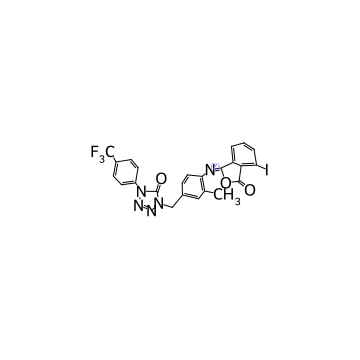 Cc1cc(Cn2nnn(-c3ccc(C(F)(F)F)cc3)c2=O)ccc1/N=C1\OC(=O)c2c(I)cccc21